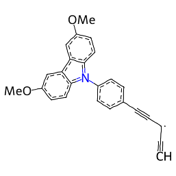 C#C[CH]C#Cc1ccc(-n2c3ccc(OC)cc3c3cc(OC)ccc32)cc1